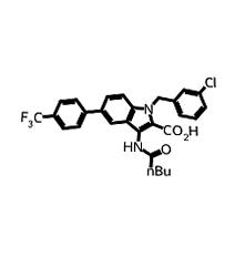 CCCCC(=O)Nc1c(C(=O)O)n(Cc2cccc(Cl)c2)c2ccc(-c3ccc(C(F)(F)F)cc3)cc12